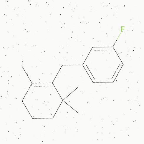 CC1=C([CH]c2cccc(F)c2)C(C)(C)CCC1